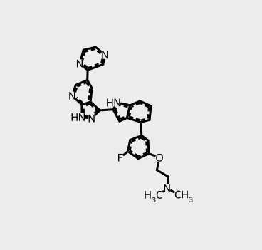 CN(C)CCOc1cc(F)cc(-c2cccc3[nH]c(-c4n[nH]c5ncc(-c6cnccn6)cc45)cc23)c1